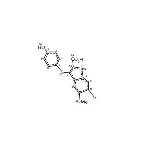 COc1cc2c(Sc3ccc(O)cc3)c(C(=O)O)sc2cc1C